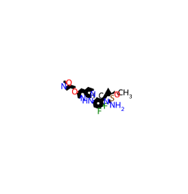 COC[C@]12C=C1[C@@](C)(c1cc(Nc3nccc4cc(OCc5cnco5)cnc34)cc(F)c1F)N=C(N)S2